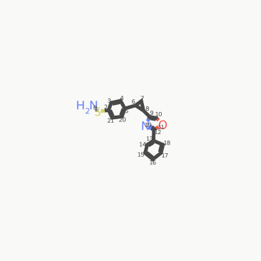 NSc1ccc(C2CC2c2coc(-c3ccccc3)n2)cc1